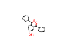 O=C(c1ccccc1)c1ccc(O)cc1C(=O)c1ccccc1